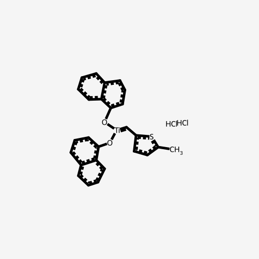 Cc1ccc([CH]=[Ti]([O]c2cccc3ccccc23)[O]c2cccc3ccccc23)s1.Cl.Cl